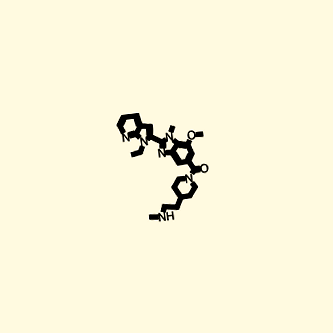 CCn1c(-c2nc3cc(C(=O)N4CCC(CCNC)CC4)cc(OC)c3n2C)cc2cccnc21